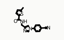 Cc1ccc(C(=O)NCc2cn(-c3ccc(C#N)cc3)cn2)s1